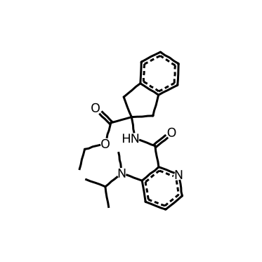 CCOC(=O)C1(NC(=O)c2ncccc2N(C)C(C)C)Cc2ccccc2C1